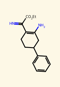 CCOC(=O)C(=N)C1=C(N)CC(c2ccccc2)CC1